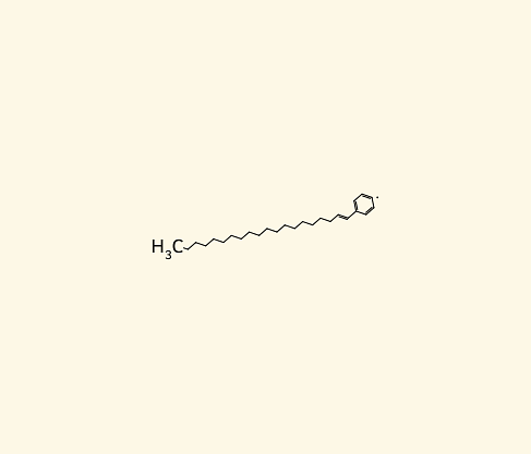 CCCCCCCCCCCCCCCCCC/C=C/c1cc[c]cc1